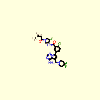 Nc1ncnn2c(-c3ccc(Cl)c(C(=O)N[C@@H]4CN(C(=O)CC(C(F)(F)F)C(F)(F)F)C[C@@H]4F)c3)cc(CN3CCC(F)(F)CC3)c12